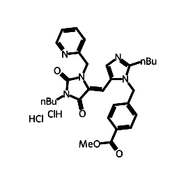 CCCCc1ncc(/C=C2/C(=O)N(CCCC)C(=O)N2Cc2ccccn2)n1Cc1ccc(C(=O)OC)cc1.Cl.Cl